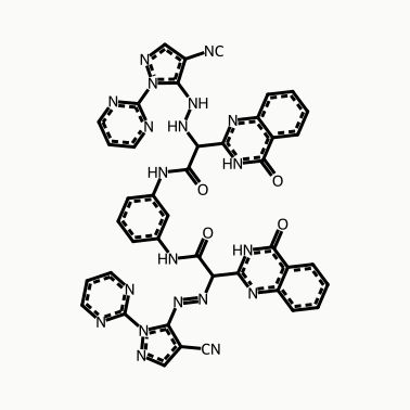 [C-]#[N+]c1cnn(-c2ncccn2)c1NNC(C(=O)Nc1cccc(NC(=O)C(N=Nc2c(C#N)cnn2-c2ncccn2)c2nc3ccccc3c(=O)[nH]2)c1)c1nc2ccccc2c(=O)[nH]1